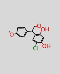 COc1ccc(C(C=O)c2cc(Cl)c(O)cc2O)cc1